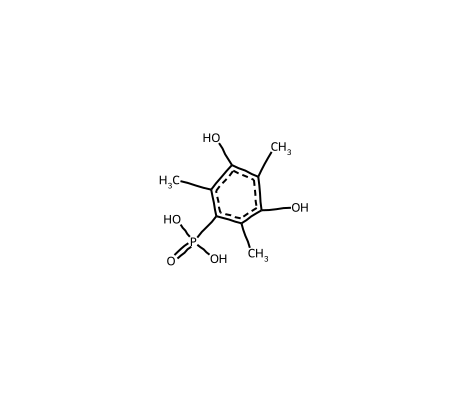 Cc1c(O)c(C)c(P(=O)(O)O)c(C)c1O